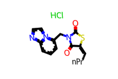 CCCC=C1SC(=O)N(Cc2cccc3nccn23)C1=O.Cl